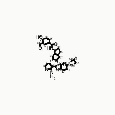 Nc1ncccc1-c1nc2ccc(-n3cc(F)cn3)nc2n1-c1ccc2c(c1)CC[C@@H]2NC(=O)c1ccc(O)c(C=O)c1